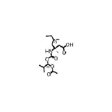 CC[C@@H](C)C[C@@](C)(CC(=O)O)NC(=O)O[C@@H](OC(C)=O)C(C)C